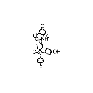 O=C(Nc1c(Cl)cc(Cl)cc1Cl)N1CCC2(CC1)C(=O)N(c1ccc(F)cc1)C2c1ccc(O)cc1